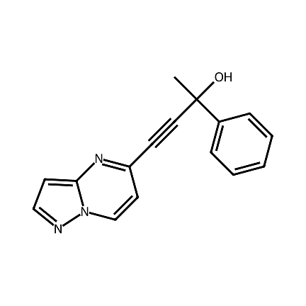 CC(O)(C#Cc1ccn2nccc2n1)c1ccccc1